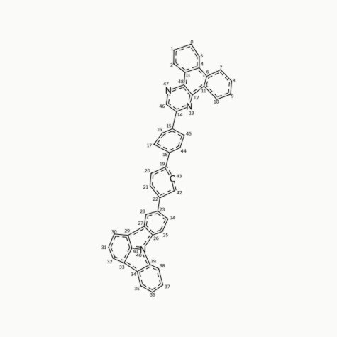 c1ccc2c(c1)c1ccccc1c1nc(-c3ccc(-c4ccc(-c5ccc6c(c5)c5cccc7c8ccccc8n6c75)cc4)cc3)cnc21